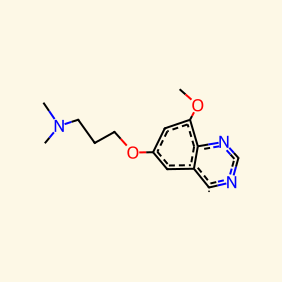 COc1cc(OCCCN(C)C)cc2[c]ncnc12